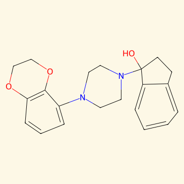 OC1(N2CCN(c3cccc4c3OCCO4)CC2)CCc2ccccc21